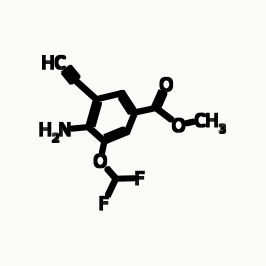 C#Cc1cc(C(=O)OC)cc(OC(F)F)c1N